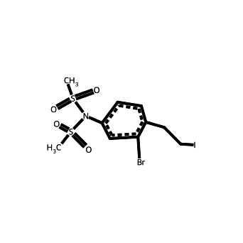 CS(=O)(=O)N(c1ccc(CCI)c(Br)c1)S(C)(=O)=O